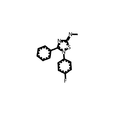 CN=c1nc(-c2ccccc2)n(-c2ccc(F)cc2)s1